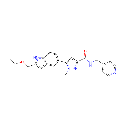 CCOCc1cc2cc(-c3cc(C(=O)NCc4ccncc4)nn3C)ccc2[nH]1